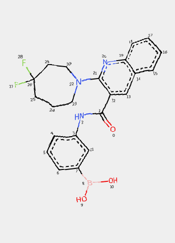 O=C(Nc1cccc(B(O)O)c1)c1cc2ccccc2nc1N1CCCC(F)(F)CC1